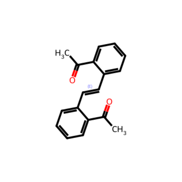 CC(=O)c1ccccc1/C=C/c1ccccc1C(C)=O